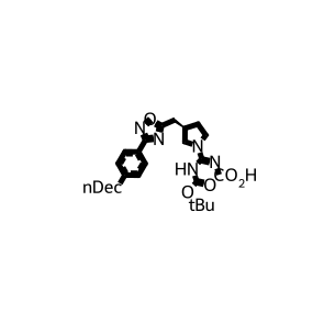 CCCCCCCCCCc1ccc(-c2noc(C[C@H]3CCN(/C(=N/C(=O)O)NC(=O)OC(C)(C)C)C3)n2)cc1